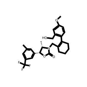 COc1ccc(C2=C(CN3C(=O)O[C@H](c4cc(C)cc(C(F)(F)F)c4)[C@@H]3C)CCCC2)c(CO)c1